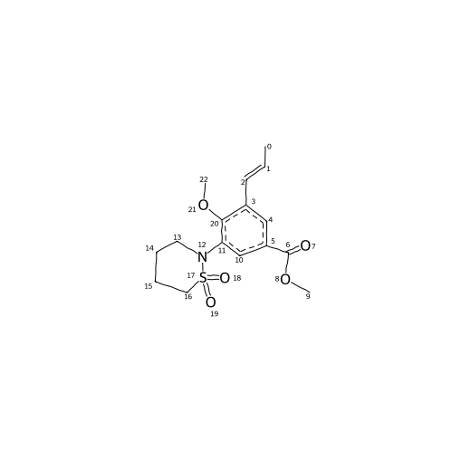 C/C=C/c1cc(C(=O)OC)cc(N2CCCCS2(=O)=O)c1OC